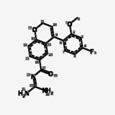 COc1cc(F)ccc1C1=CCOc2ccc(C(=O)N=C(N)N)cc21